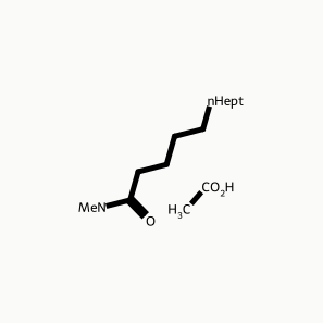 CC(=O)O.CCCCCCCCCCCC(=O)NC